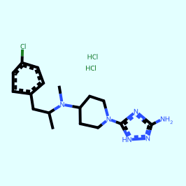 CC(Cc1ccc(Cl)cc1)N(C)C1CCN(c2nc(N)n[nH]2)CC1.Cl.Cl